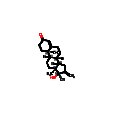 C=C1C[C@H]2[C@@H]3CCC4=CC(=O)CC[C@]4(C)[C@H]3CC[C@]2(C)[C@]1(O)C#N